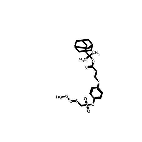 CC(C)(OC(=O)CCSc1ccc(OS(=O)(=O)CSOOO)cc1)C12CC3CC(CC(C3)C1)C2